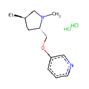 CC[C@@H]1C[C@@H](COc2cccnc2)N(C)C1.Cl.Cl